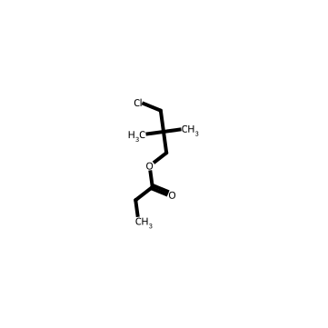 CCC(=O)OCC(C)(C)CCl